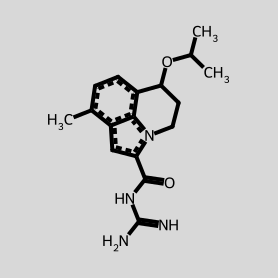 Cc1ccc2c3c1cc(C(=O)NC(=N)N)n3CCC2OC(C)C